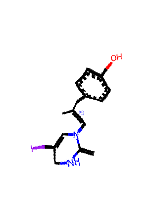 C=C1NCC(I)=CN1/C=C(\C)c1ccc(O)cc1